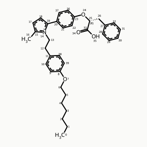 CCCCCCCOc1ccc(CCn2c(C)ccc2-c2ccc(O[C@H](Cc3ccccc3)C(=O)O)cc2)cc1